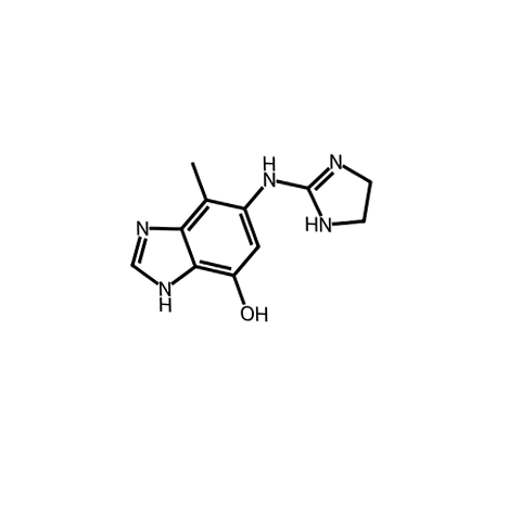 Cc1c(NC2=NCCN2)cc(O)c2[nH]cnc12